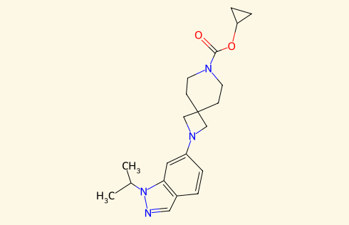 CC(C)n1ncc2ccc(N3CC4(CCN(C(=O)OC5CC5)CC4)C3)cc21